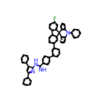 N=C(NC1N=C(c2ccccc2)C=C1c1ccccc1)c1ccc(-c2cccc(-c3ccc4c(c3)C3(c5cc(F)ccc5-4)c4ccccc4N(c4ccccc4)c4ccccc43)c2)cc1